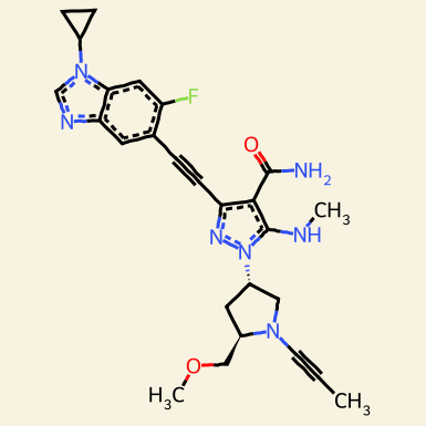 CC#CN1C[C@@H](n2nc(C#Cc3cc4ncn(C5CC5)c4cc3F)c(C(N)=O)c2NC)C[C@@H]1COC